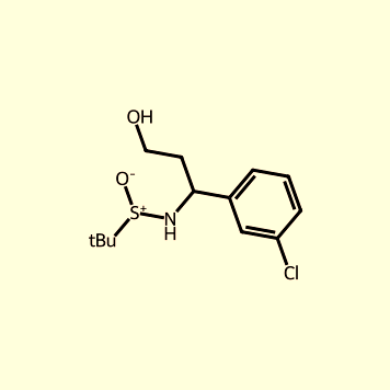 CC(C)(C)[S+]([O-])NC(CCO)c1cccc(Cl)c1